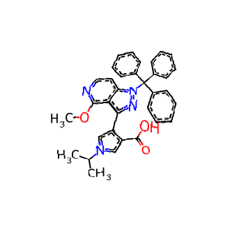 COc1nccc2c1c(-c1cn(C(C)C)cc1C(=O)O)nn2C(c1ccccc1)(c1ccccc1)c1ccccc1